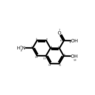 Nc1ccc2c(C(=O)O)c(O)ccc2c1